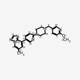 COc1ccc(CN2CCN(c3ccc(-c4cc(C)cn5ncnc45)cn3)CC2)cn1